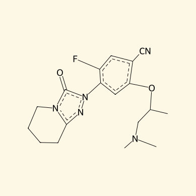 CC(CN(C)C)Oc1cc(-n2nc3n(c2=O)CCCC3)c(F)cc1C#N